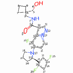 O=C(NCC1(CO)CCC1)c1cnn2ccc(N3CCC[C@@H]3c3cc(F)ccc3F)c(F)c12